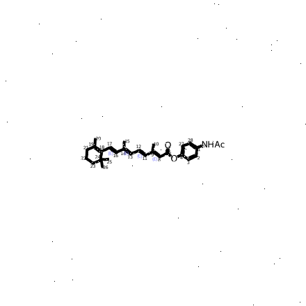 CC(=O)Nc1ccc(OC(=O)/C=C(C)/C=C/C=C(C)/C=C/C2=C(C)CCCC2(C)C)cc1